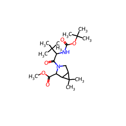 COC(=O)C1C2C(CN1C(=O)C(NC(=O)OC(C)(C)C)C(C)(C)C)C2(C)C